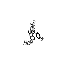 COCC(=O)[C@@]1(OC)CC[C@H]2[C@@H]3CCC4=CC(=NO)CCC4=C3[C@@H](c3ccc(N(C)C)cc3)C[C@@]21C